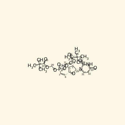 CO[C@H]1C(O)[C@@H](/C=C\P(=O)(OCOC(=O)C(C)(C)C)OCOC(=O)C(C)(C)C)O[C@H]1n1ccc(=O)[nH]c1=O